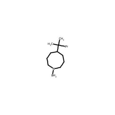 BN1CCCC(C(C)(C)C(C)C)CCC1